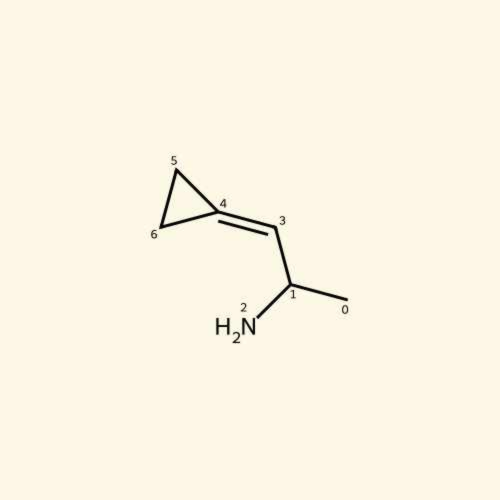 CC(N)C=C1CC1